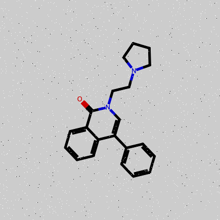 O=c1c2ccccc2c(-c2ccccc2)cn1CCN1CCCC1